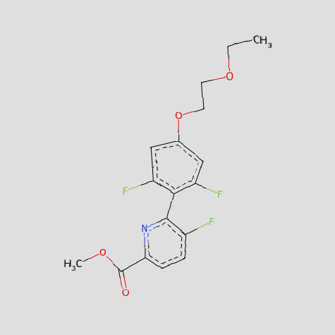 CCOCCOc1cc(F)c(-c2nc(C(=O)OC)ccc2F)c(F)c1